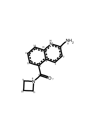 Nc1ccc2c(C(=O)N3CCC3)cccc2n1